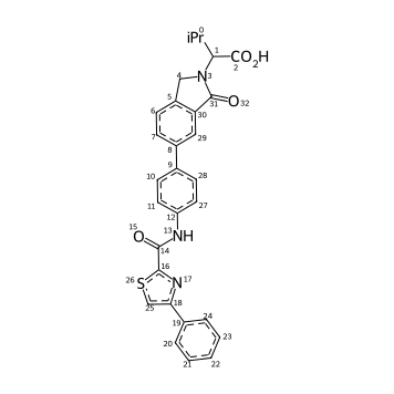 CC(C)C(C(=O)O)N1Cc2ccc(-c3ccc(NC(=O)c4nc(-c5ccccc5)cs4)cc3)cc2C1=O